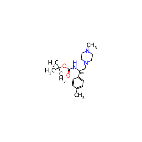 Cc1ccc([C@H](CN2CCN(C)CC2)NC(=O)OC(C)(C)C)cc1